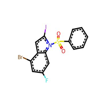 O=S(=O)(c1ccccc1)n1c(I)cc2c(Br)cc(F)cc21